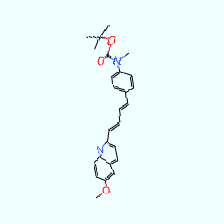 COc1ccc2nc(/C=C/C=C/c3ccc(N(C)C(=O)OC(C)(C)C)cc3)ccc2c1